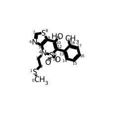 CSCCN1c2ncsc2C(O)=C(c2ccccc2C)S1(=O)=O